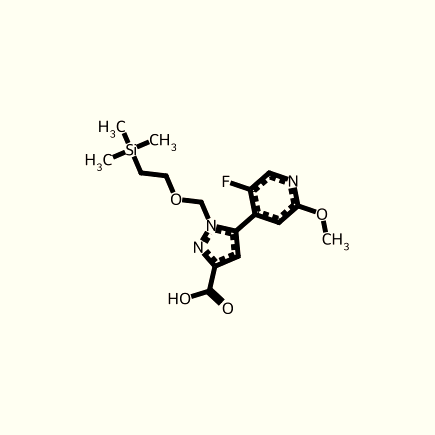 COc1cc(-c2cc(C(=O)O)nn2COCC[Si](C)(C)C)c(F)cn1